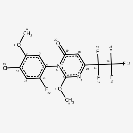 COc1cc(-n2c(OC)nc(C(F)(F)C(F)(F)F)cc2=O)c(F)cc1Cl